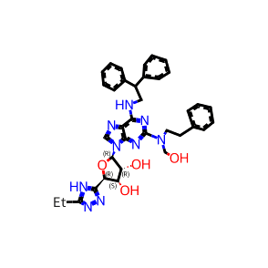 CCc1nnc([C@H]2O[C@@H](n3cnc4c(NCC(c5ccccc5)c5ccccc5)nc(N(CO)CCc5ccccc5)nc43)[C@H](O)[C@@H]2O)[nH]1